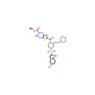 CC(C)(C)OC(=O)C1Cc2nc(C(=O)N3CCN(S(=O)(=O)c4cc5cc(Cl)ccc5[nH]4)CC3CCN3CCCCC3)sc2CN1